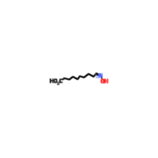 O=C(O)CCCCCCCC/C=N\O